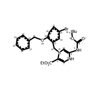 CCOC(=O)C1=CNC(NC(=O)OC(C)(C)C)=CN1Cc1cc(Br)ccc1OCc1ccccc1